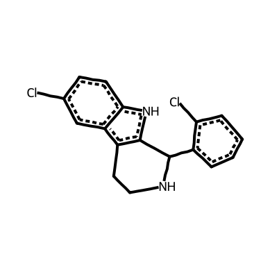 Clc1ccc2[nH]c3c(c2c1)CCNC3c1ccccc1Cl